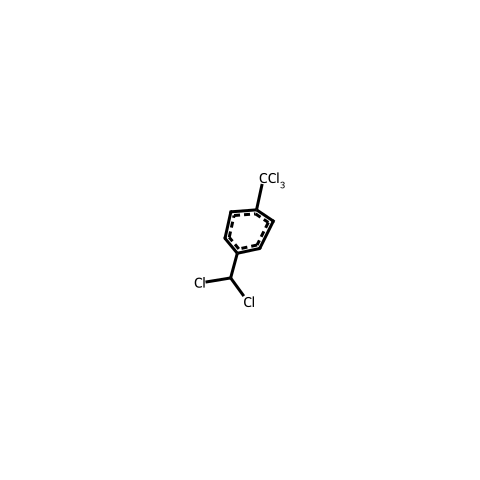 ClC(Cl)c1ccc(C(Cl)(Cl)Cl)cc1